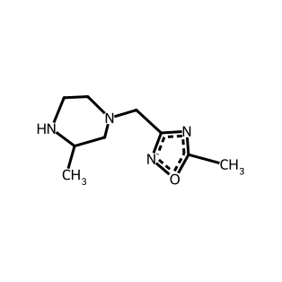 Cc1nc(CN2CCNC(C)C2)no1